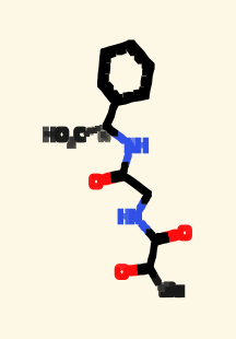 CC(C)(C)C(=O)C(=O)NCC(=O)N[C@H](C(=O)O)c1ccccc1